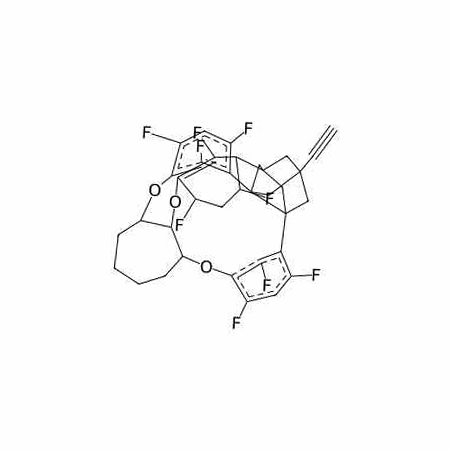 C#CC12CC34CC5(C1)c1c(F)cc(F)c(c1F)OC1CCCCC(Oc6c(F)cc(F)c(c6F)C5(C2)C3)C1OC1=C(F)C4C(F)CC1F